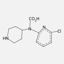 O=C(O)N(c1cccc(Cl)n1)C1CCNCC1